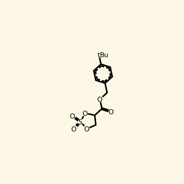 CC(C)(C)c1ccc(COC(=O)C2COS(=O)(=O)O2)cc1